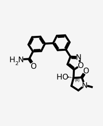 CN1CC[C@@](O)(c2cc(-c3cccc(-c4cccc(C(N)=O)c4)c3)no2)C1=O